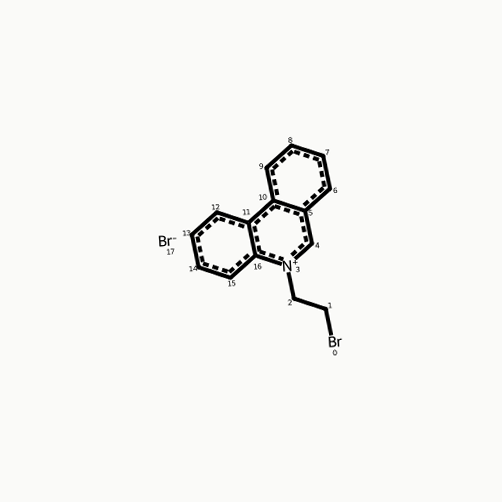 BrCC[n+]1cc2ccccc2c2ccccc21.[Br-]